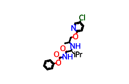 CC(COc1ccc(Cl)cn1)N[C@H](C(=O)NC(=O)Oc1ccccc1)C(C)C